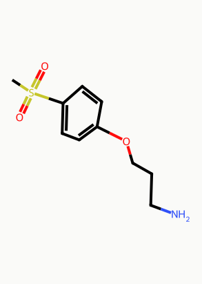 CS(=O)(=O)c1ccc(OCCCN)cc1